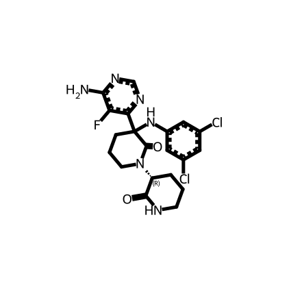 Nc1ncnc(C2(Nc3cc(Cl)cc(Cl)c3)CCCN([C@@H]3CCCNC3=O)C2=O)c1F